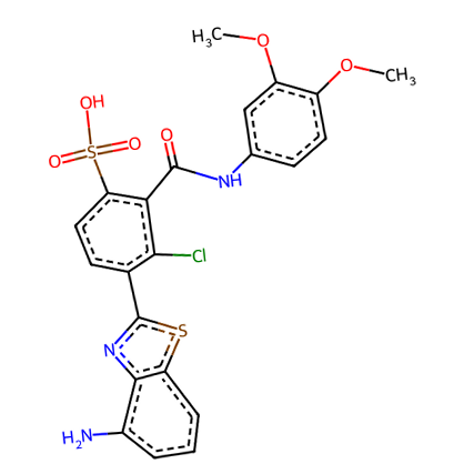 COc1ccc(NC(=O)c2c(S(=O)(=O)O)ccc(-c3nc4c(N)cccc4s3)c2Cl)cc1OC